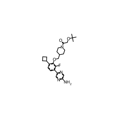 CC(C)(C)OCC(=O)N1CCC(COc2c(C3CCC3)ccc(-c3cnc(N)cn3)c2F)CC1